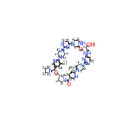 O=C(c1cnc(N2CCN(c3nccc(NCCO)n3)CC2)c(Cl)c1)N1CCCC1.O=C1CN(c2ccnc(N3CCN(c4ncc(C(=O)N5CCCC5)cc4Cl)CC3)n2)CCN1